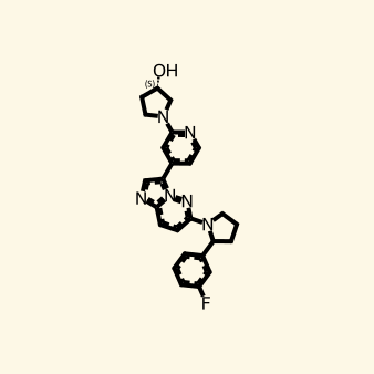 O[C@H]1CCN(c2cc(-c3cnc4ccc(N5CCCC5c5cccc(F)c5)nn34)ccn2)C1